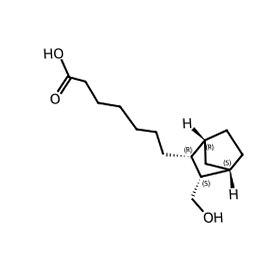 O=C(O)CCCCCC[C@@H]1[C@@H]2CC[C@@H](C2)[C@@H]1CO